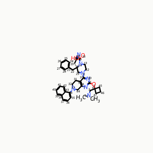 CN(C)CC1(Oc2nc3c(c(N4CCN(C(=O)O)[C@](CC#N)(Cc5ccccc5)C4)n2)CCN(c2cccc4ccccc24)C3)CCC1